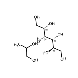 CC(O)CO.OC[C@@H](O)[C@@H](O)[C@H](O)[C@@H](O)CO